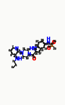 CCCNc1cccnc1N1CCN(C(=O)c2cc3cc(NS(C)(=O)=O)ccc3[nH]2)CC1